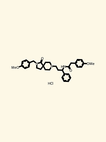 COc1ccc(CC(=O)NC(CCN2CCC3(CC2)CCN(Cc2ccc(OC)cc2)C3=O)c2ccccc2)cc1.Cl